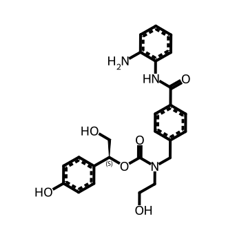 Nc1ccccc1NC(=O)c1ccc(CN(CCO)C(=O)O[C@H](CO)c2ccc(O)cc2)cc1